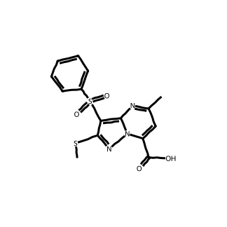 CSc1nn2c(C(=O)O)cc(C)nc2c1S(=O)(=O)c1ccccc1